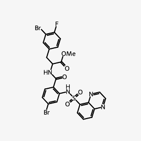 COC(=O)C(Cc1ccc(F)c(Br)c1)NC(=O)c1ccc(Br)cc1NS(=O)(=O)c1cccc2nccnc12